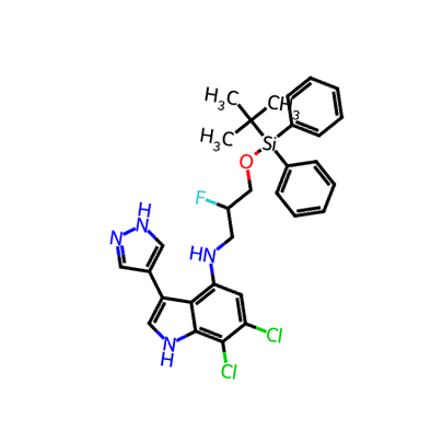 CC(C)(C)[Si](OCC(F)CNc1cc(Cl)c(Cl)c2[nH]cc(-c3cn[nH]c3)c12)(c1ccccc1)c1ccccc1